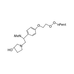 CCCCCOOCCOc1ccc(C(CN2CCC(O)C2)NC)cc1